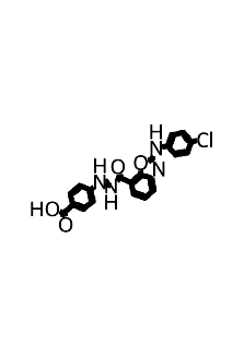 O=C(O)c1ccc(NNC(=O)c2cccc3nc(Nc4ccc(Cl)cc4)oc23)cc1